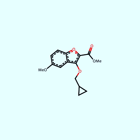 COC(=O)c1oc2ccc(OC)cc2c1OCC1CC1